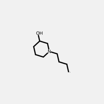 [CH2]CCCN1CCCC(O)C1